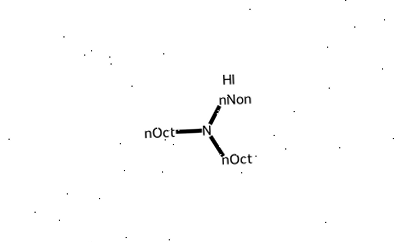 CCCCCCCCCN(CCCCCCCC)CCCCCCCC.I